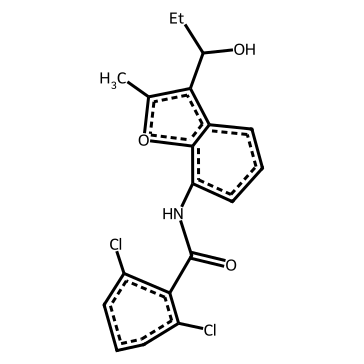 CCC(O)c1c(C)oc2c(NC(=O)c3c(Cl)cccc3Cl)cccc12